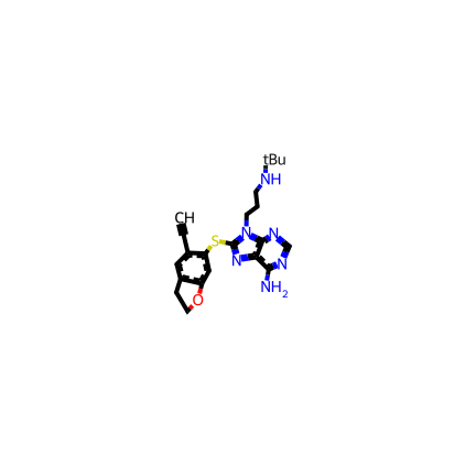 C#Cc1cc2c(cc1Sc1nc3c(N)ncnc3n1CCCNC(C)(C)C)OCC2